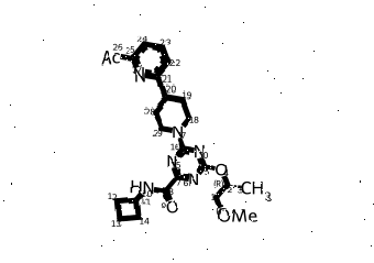 COC[C@@H](C)Oc1nc(C(=O)NC2CCC2)nc(N2CCC(c3cccc(C(C)=O)n3)CC2)n1